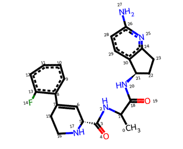 CC(NC(=O)[C@H]1C=C(c2ccccc2F)CCN1)C(=O)N[C@@H]1CCc2nc(N)ccc21